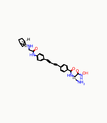 NC[C@H](NC(=O)c1ccc(C#CC#Cc2ccc(NC(=O)CN[C@@H]3CC4CC[C@@H]3C4)cc2)cc1)C(=O)NO